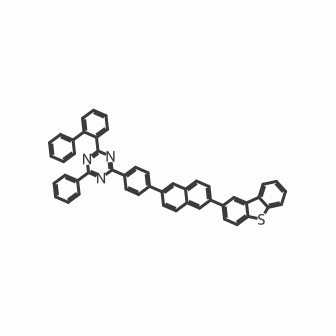 c1ccc(-c2nc(-c3ccc(-c4ccc5cc(-c6ccc7sc8ccccc8c7c6)ccc5c4)cc3)nc(-c3ccccc3-c3ccccc3)n2)cc1